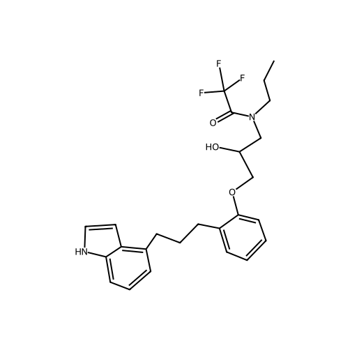 CCCN(CC(O)COc1ccccc1CCCc1cccc2[nH]ccc12)C(=O)C(F)(F)F